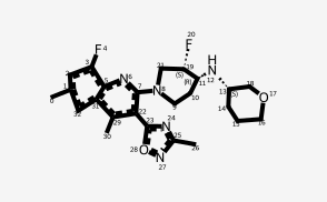 Cc1cc(F)c2nc(N3CC[C@@H](N[C@H]4CCCOC4)[C@@H](F)C3)c(-c3nc(C)no3)c(C)c2c1